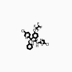 O=C(Nc1ncc(Cl)s1)N[C@@](Cc1ccccc1)(c1cccc(OC(F)(F)C(F)F)c1)c1ccc(Cl)cn1